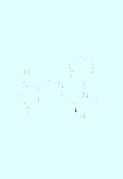 CC(=O)N1c2ccccc2N(CC2CNCN2C)C[C@@H]1C